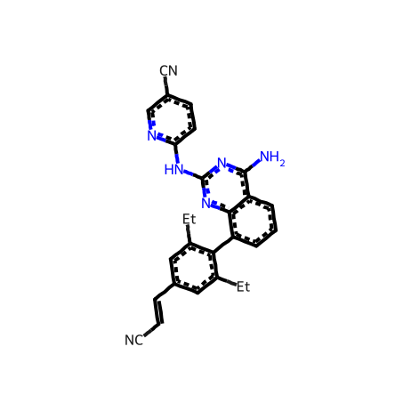 CCc1cc(/C=C/C#N)cc(CC)c1-c1cccc2c(N)nc(Nc3ccc(C#N)cn3)nc12